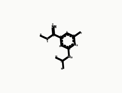 CSC(=N)c1cc(C)nc(OC(C)C)c1